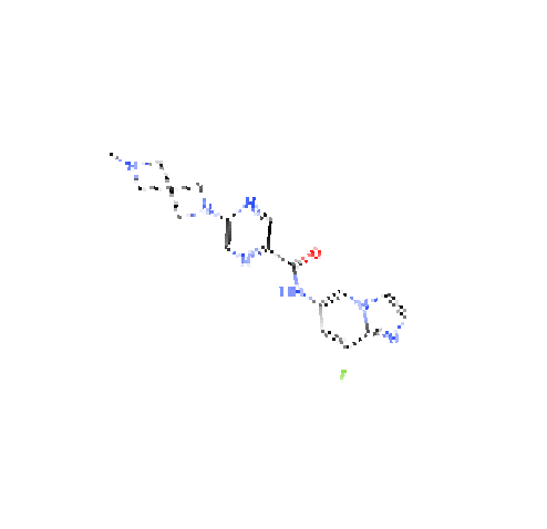 Cc1cn2cc(NC(=O)c3cnc(N4CC5(CN(C)C5)C4)cn3)cc(F)c2n1